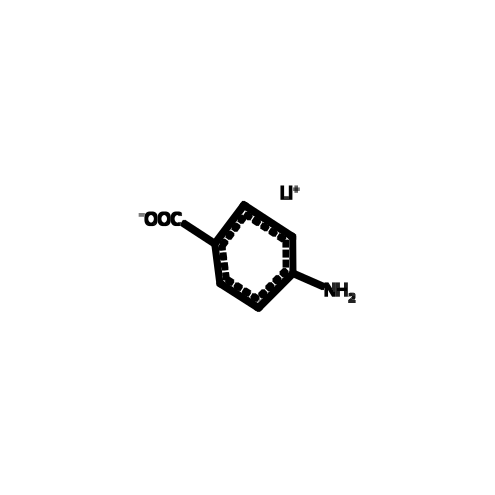 Nc1ccc(C(=O)[O-])cc1.[Li+]